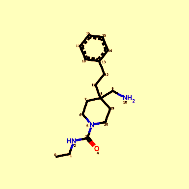 CCNC(=O)N1CCC(CN)(CCc2ccccc2)CC1